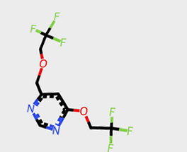 FC(F)(F)COCc1cc(OCC(F)(F)F)ncn1